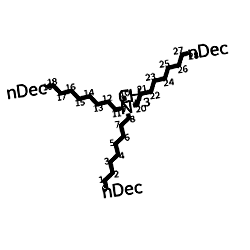 CCCCCCCCCCCCCCCCCC[N+](C)(CCCCCCCCCCCCCCCCCC)CCCCCCCCCCCCCCCCCC